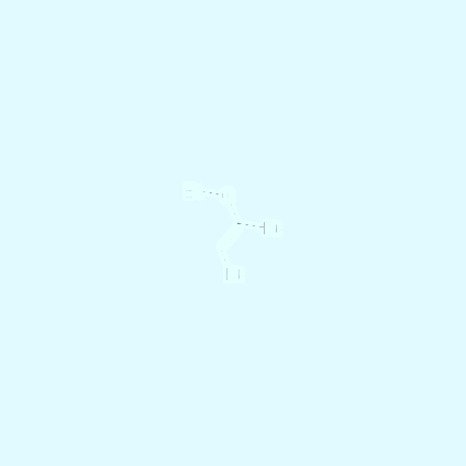 [CH2]COC(=CCC)CC